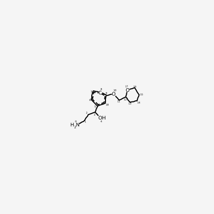 NCCC(O)c1cccc(OCC2CCCCO2)c1